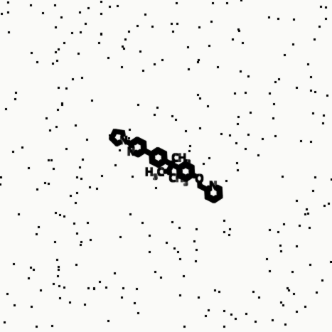 CC(C)C(C)(c1ccc(OCc2ccccn2)cc1)c1ccc(-c2ccc(N3CCCC3)nc2)cc1